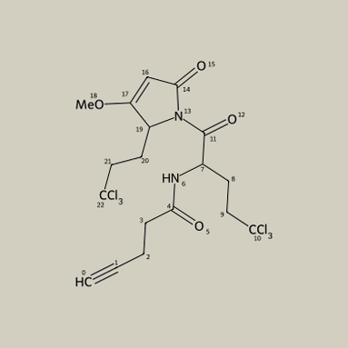 C#CCCC(=O)NC(CCC(Cl)(Cl)Cl)C(=O)N1C(=O)C=C(OC)C1CCC(Cl)(Cl)Cl